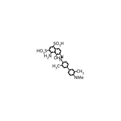 CNc1ccc(-c2ccc(N=Nc3ccc4c(S(=O)(=O)O)cc(S(=O)(=O)O)c(N)c4c3O)c(C)c2)cc1C